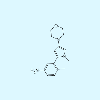 Cc1ccc(N)cc1-c1cc(N2CCOCC2)cn1C